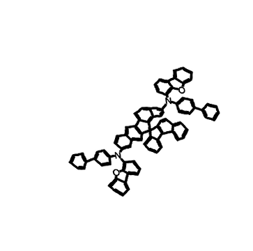 c1ccc(-c2ccc(N(c3ccc4cc5c(cc4c3)C3(c4ccccc4-c4c3ccc3ccccc43)c3c-5ccc4cc(N(c5ccc(-c6ccccc6)cc5)c5cccc6c5oc5ccccc56)ccc34)c3cccc4c3oc3ccccc34)cc2)cc1